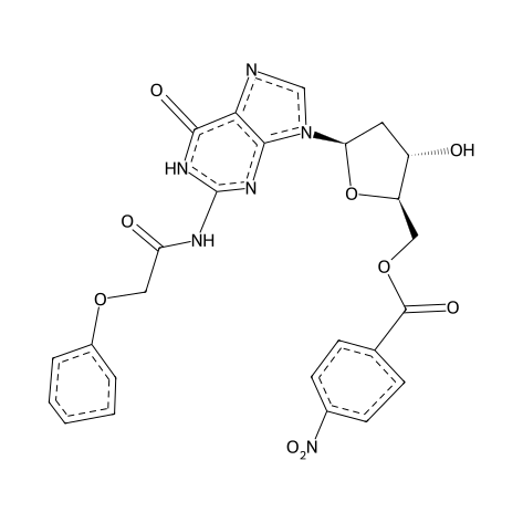 O=C(COc1ccccc1)Nc1nc2c(ncn2[C@H]2C[C@H](O)[C@@H](COC(=O)c3ccc([N+](=O)[O-])cc3)O2)c(=O)[nH]1